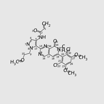 C=CC(=O)Nc1cnn(CCOC)c1-c1ncc2cc(-c3c(Cl)c(OC)cc(OC)c3Cl)n(C)c(=O)c2n1